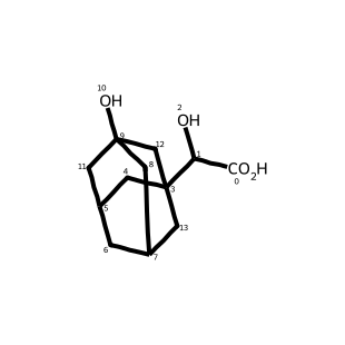 O=C(O)C(O)C12CC3CC(CC(O)(C3)C1)C2